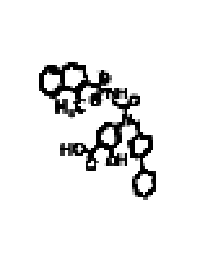 Cc1c(S(=O)(=O)NCC(=O)N(Cc2ccc(C3CCCCC3)cc2)c2ccc(C(=O)O)c(O)c2)ccc2ccccc12